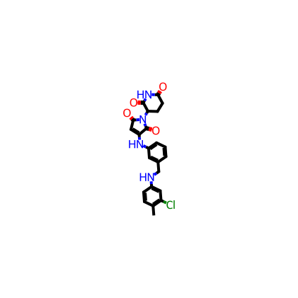 Cc1ccc(NCc2cccc(NC3=CC(=O)N(C4CCC(=O)NC4=O)C3=O)c2)cc1Cl